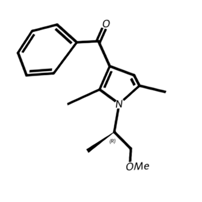 COC[C@@H](C)n1c(C)cc(C(=O)c2ccccc2)c1C